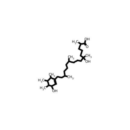 CC(CCCC(C)CCC1=CC(O)C(C)C(C)C1C)CCCC(C)(O)CCCC(C)C(=O)O